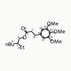 CCCCC(CC)COC(=O)CCc1cc(OC)c(OC)c(OC)c1